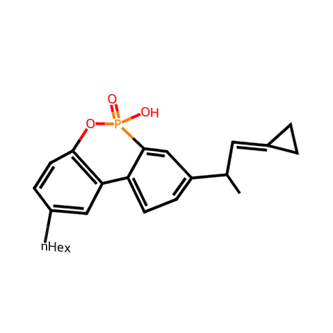 CCCCCCc1ccc2c(c1)-c1ccc(C(C)C=C3CC3)cc1P(=O)(O)O2